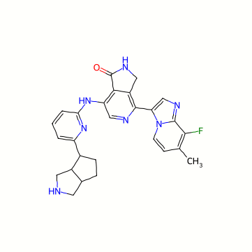 Cc1ccn2c(-c3ncc(Nc4cccc(C5CCC6CNCC65)n4)c4c3CNC4=O)cnc2c1F